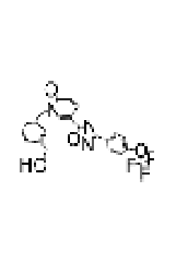 O=c1ccc(-c2nc(-c3ccc(OC(F)(F)F)cc3)no2)cn1Cc1cccc(CO)c1